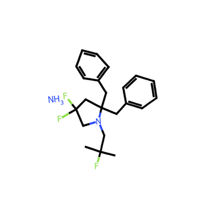 CC(C)(F)CN1CC(F)(F)CC1(Cc1ccccc1)Cc1ccccc1.N